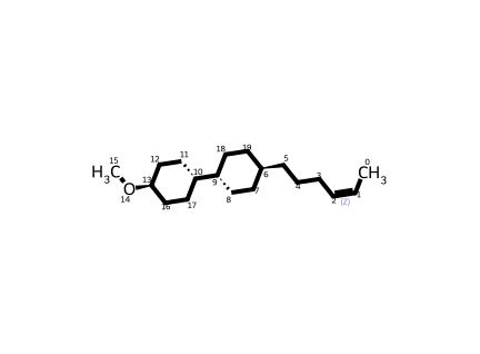 C/C=C\CCC[C@H]1CC[C@H]([C@H]2CC[C@H](OC)CC2)CC1